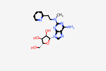 CN(CCc1ccccn1)c1nc(N)c2ncn([C@@H]3O[C@H](CO)[C@@H](O)[C@H]3O)c2n1